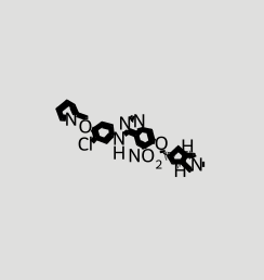 CN1C[C@H]2C[C@@H](COc3cc4ncnc(Nc5ccc(OCc6ccccn6)c(Cl)c5)c4cc3[N+](=O)[O-])C[C@H]2C1